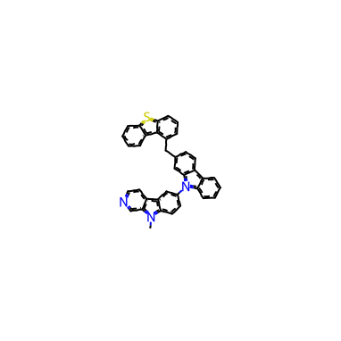 Cn1c2ccc(-n3c4ccccc4c4ccc(Cc5cccc6sc7ccccc7c56)cc43)cc2c2ccncc21